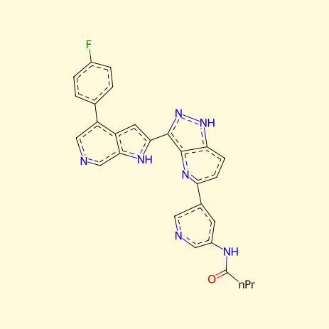 CCCC(=O)Nc1cncc(-c2ccc3[nH]nc(-c4cc5c(-c6ccc(F)cc6)cncc5[nH]4)c3n2)c1